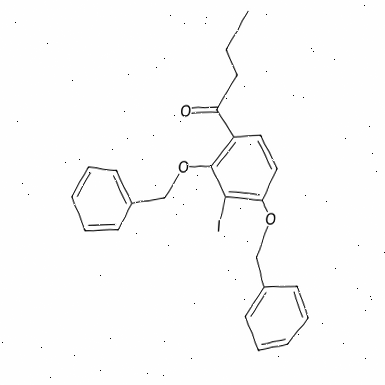 CCCC(=O)c1ccc(OCc2ccccc2)c(I)c1OCc1ccccc1